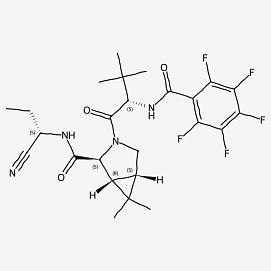 CC[C@@H](C#N)NC(=O)[C@@H]1[C@@H]2[C@H](CN1C(=O)[C@@H](NC(=O)c1c(F)c(F)c(F)c(F)c1F)C(C)(C)C)C2(C)C